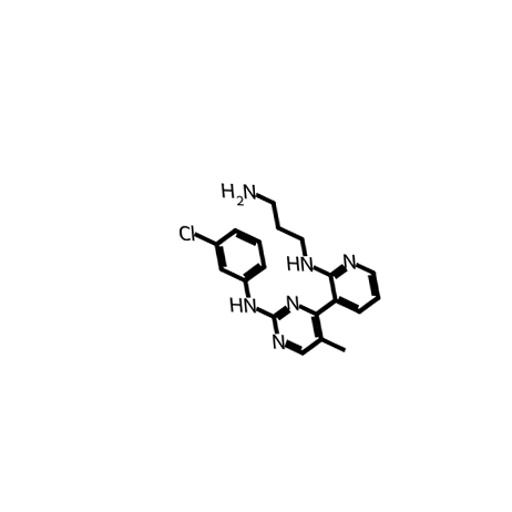 Cc1cnc(Nc2cccc(Cl)c2)nc1-c1cccnc1NCCCN